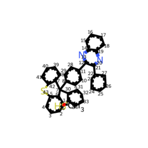 Cc1cccc2c1C(c1ccc(-c3nc4ccccc4nc3-c3ccccc3)cc1)(c1ccccc1S)c1ccccc1S2